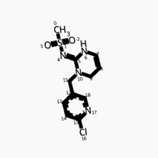 CS(=O)(=O)N=C1NC=CCN1Cc1ccc(Cl)nc1